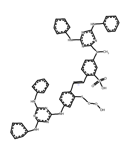 CN(c1ccc(/C=C/c2ccc(Nc3nc(Nc4ccccc4)nc(Nc4ccccc4)n3)cc2SOOO)c(S(=O)(=O)O)c1)c1nc(Nc2ccccc2)nc(Nc2ccccc2)n1